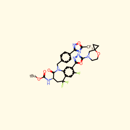 CC(C)(C)OC(=O)N[C@@H]1CC(F)(F)c2cc(F)c(-c3nnc(N4CCOC5(CC5)C4)o3)cc2N(Cc2ccc(-c3noc(C(F)(F)F)n3)cc2)C1=O